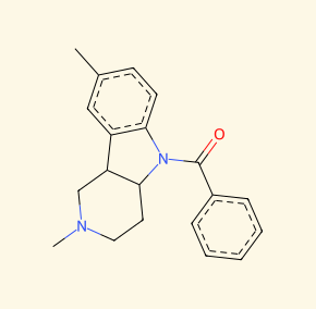 Cc1ccc2c(c1)C1CN(C)CCC1N2C(=O)c1ccccc1